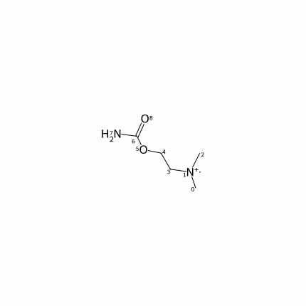 C[N+](C)CCOC(N)=O